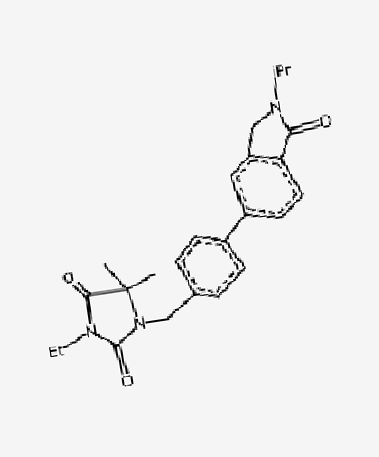 CCN1C(=O)N(Cc2ccc(-c3ccc4c(c3)CN(C(C)C)C4=O)cc2)C(C)(C)C1=O